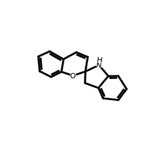 C1=CC2(Cc3ccccc3N2)Oc2ccccc21